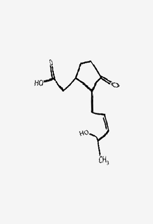 CC(O)/C=C\CC1C(=O)CCC1CC(=O)O